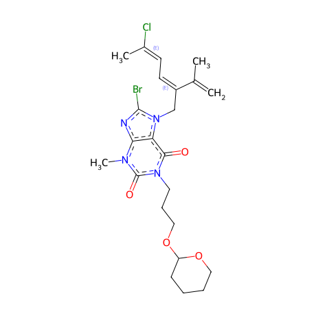 C=C(C)/C(=C\C=C(/C)Cl)Cn1c(Br)nc2c1c(=O)n(CCCOC1CCCCO1)c(=O)n2C